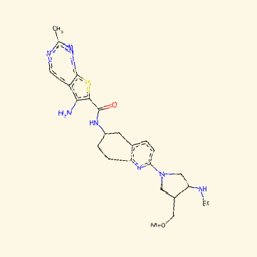 CCNC1CN(c2ccc3c(n2)CCC(NC(=O)c2sc4nc(C)ncc4c2N)C3)CC1COC